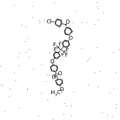 COc1ccc(S(=O)(=O)c2ccc(Oc3ccc(C(c4ccc(Oc5ccc(C(=O)c6ccc(Cl)cc6)cc5)cc4)(C(F)(F)F)C(F)(F)F)cc3)cc2)cc1